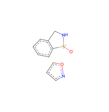 [O-][S+]1NCc2ccccc21.c1cnoc1